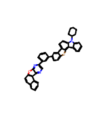 c1cc(-c2ccc3sc4c(ccc5c4c4ccccc4n5C4CCCCC4)c3c2)cc(-c2cnc3c(n2)oc2ccc4ccccc4c23)c1